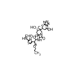 C=CCON=C(C(=O)NC1C(=O)N2CC(C(=O)O)(C(CCO)Sc3nnn[nH]3)CS[C@H]12)c1csc(NC=O)n1